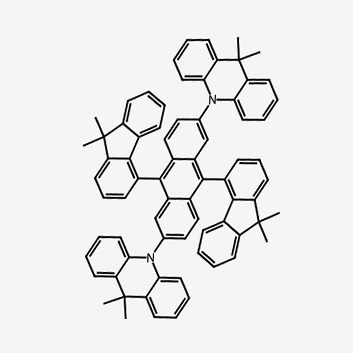 CC1(C)c2ccccc2N(c2ccc3c(-c4cccc5c4-c4ccccc4C5(C)C)c4cc(N5c6ccccc6C(C)(C)c6ccccc65)ccc4c(-c4cccc5c4-c4ccccc4C5(C)C)c3c2)c2ccccc21